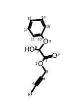 O=C(OCC#CI)C(O)Oc1ccccc1